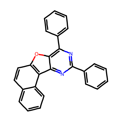 c1ccc(-c2nc(-c3ccccc3)c3oc4ccc5ccccc5c4c3n2)cc1